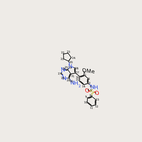 COc1cc(NS(=O)(=O)c2ccccc2)ccc1-c1cn(C2CCCC2)c2ncnc(N)c12